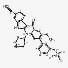 C#Cc1ccc2c(c1)[nH]c1c2c(=O)c2cc(CC)c(-c3cncc(OS(=O)(=O)F)c3)cc2n1C1CCNCC1